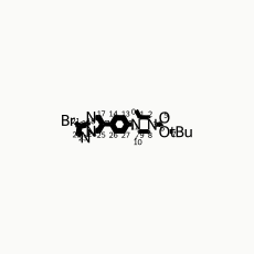 CC1CN(C(=O)OC(C)(C)C)C[C@H](C)N1c1ccc(-c2cnc3c(Br)cnn3c2)cc1